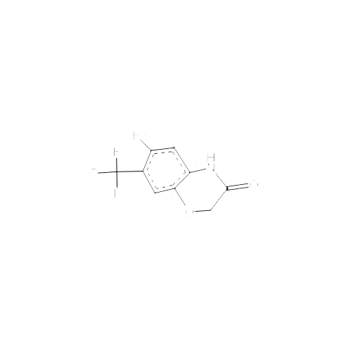 O=C1COc2cc(C(F)(F)F)c(F)cc2N1